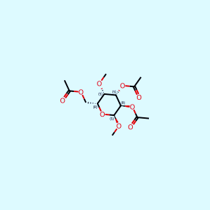 CO[C@H]1O[C@H](COC(C)=O)[C@H](OC)[C@H](OC(C)=O)[C@H]1OC(C)=O